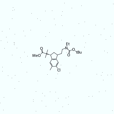 CCN(CCC1C[C@H](C(C)(C)C(=O)OC)c2cc(C)c(Cl)cc21)C(=O)OC(C)(C)C